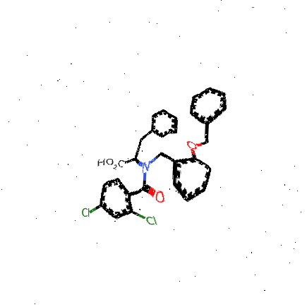 O=C(O)C(Cc1ccccc1)N(Cc1ccccc1OCc1ccccc1)C(=O)c1ccc(Cl)cc1Cl